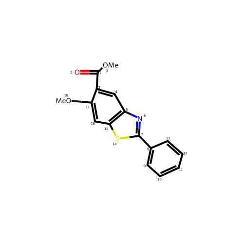 COC(=O)c1cc2nc(-c3ccccc3)sc2cc1OC